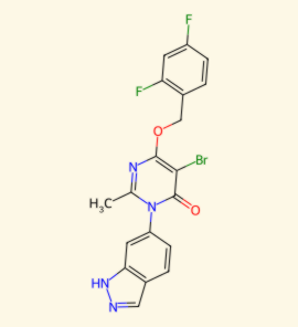 Cc1nc(OCc2ccc(F)cc2F)c(Br)c(=O)n1-c1ccc2cn[nH]c2c1